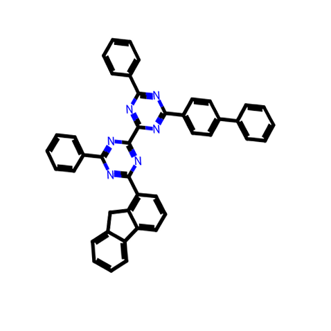 c1ccc(-c2ccc(-c3nc(-c4ccccc4)nc(-c4nc(-c5ccccc5)nc(-c5cccc6c5Cc5ccccc5-6)n4)n3)cc2)cc1